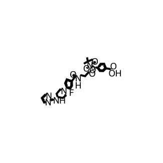 CC(C)(C)N(OC(=O)CCNC(=O)c1ccc(N2CCC(Nc3ncccn3)CC2)c(F)c1)S(=O)(=O)c1ccc(C(=O)O)cc1